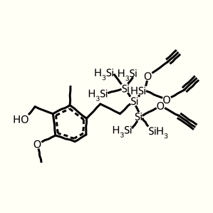 C#CO[SiH](OC#C)[Si](CCc1ccc(OC)c(CO)c1C)([Si]([SiH3])([SiH3])[SiH3])[Si]([SiH3])([SiH3])OC#C